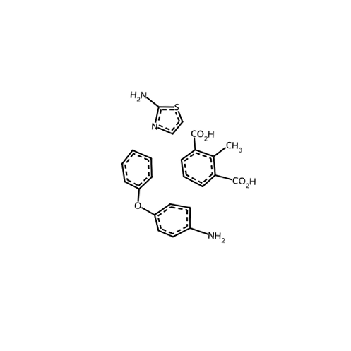 Cc1c(C(=O)O)cccc1C(=O)O.Nc1ccc(Oc2ccccc2)cc1.Nc1nccs1